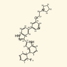 Fc1ccccc1-c1cccc2[nH]c(-c3n[nH]c4ccc(-c5cncc(OCCN6CCCC6)c5)cc34)cc12